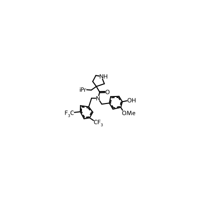 COc1cc(CN(Cc2cc(C(F)(F)F)cc(C(F)(F)F)c2)C(=O)C2(CC(C)C)CCNC2)ccc1O